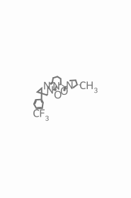 C[C@H]1CCN(C(=O)[C@@H]2CCCc3nn(CC4(c5ccc(C(F)(F)F)cc5)CC4)c(=O)n32)C1